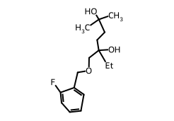 CCC(O)(CCC(C)(C)O)COCc1ccccc1F